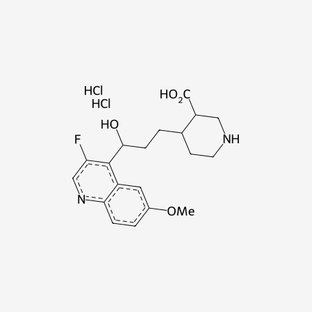 COc1ccc2ncc(F)c(C(O)CCC3CCNCC3C(=O)O)c2c1.Cl.Cl